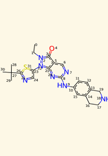 CCn1c(=O)c2cnc(Nc3ccc4c(c3)CCNC4)nc2n1-c1cnc(C(C)(C)C)s1